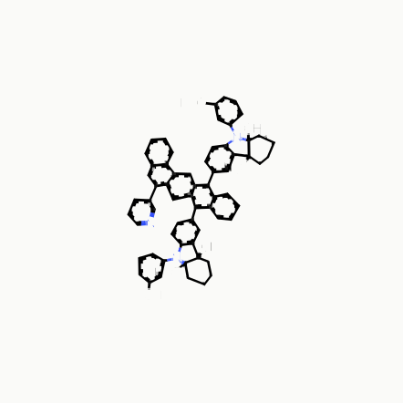 Cc1cccc(N2c3ccc(-c4c5ccccc5c(-c5ccc6c(c5)C5(C)CCCCC5(C)N6c5cccc(C)c5)c5cc6c(cc45)c(-c4cccnc4)cc4ccccc46)cc3C3(C)CCCCC23C)c1